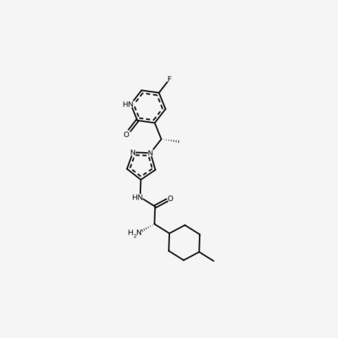 CC1CCC([C@H](N)C(=O)Nc2cnn([C@@H](C)c3cc(F)c[nH]c3=O)c2)CC1